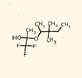 CCC(C)(C)C(C)OC(C)(O)C(F)(F)F